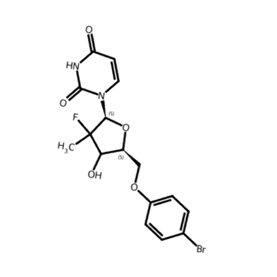 CC1(F)C(O)[C@H](COc2ccc(Br)cc2)O[C@@H]1n1ccc(=O)[nH]c1=O